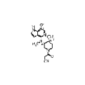 C[C@@H]1CCN(C(=O)CC#N)C[C@@H]1N(C)c1nc[n+]([O-])c2[nH]ccc12